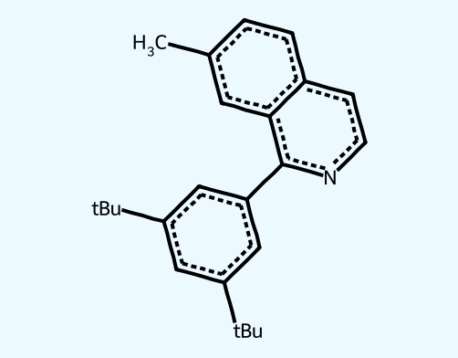 Cc1ccc2ccnc(-c3cc(C(C)(C)C)cc(C(C)(C)C)c3)c2c1